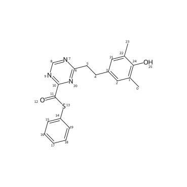 Cc1cc(CCc2ncnc(C(=O)Sc3ccccc3)n2)cc(C)c1O